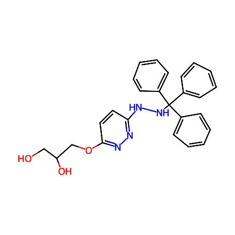 OCC(O)COc1ccc(NNC(c2ccccc2)(c2ccccc2)c2ccccc2)nn1